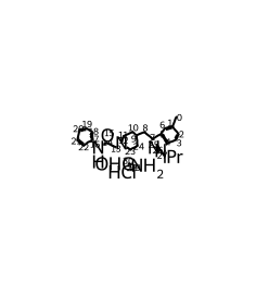 Cc1ccc2c(c1)c(CC1CCN(CC(=O)Nc3ccccc3)CC1)nn2C(C)C.Cl.NC=O